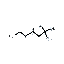 [CH2]CCNCC(C)(C)C